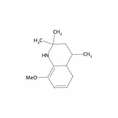 COC1=C2NC(C)(C)CC(C)C2CC=C1